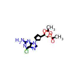 CC(=O)OC[C@@H](OC(C)=O)[C@@H]1C=C[C@H](n2cnc3c(Cl)nc(N)nc32)C1